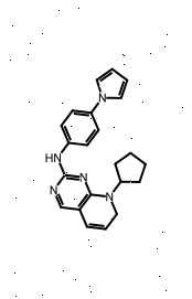 C1=Cc2cnc(Nc3ccc(-n4cccc4)cc3)nc2N(C2CCCC2)C1